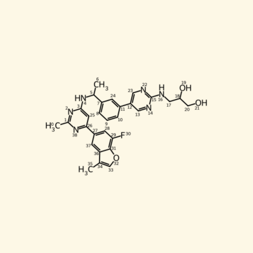 Cc1nc(NC(C)c2cccc(-c3cnc(NCC(O)CO)nc3)c2)cc(-c2cc(F)c3occ(C)c3c2)n1